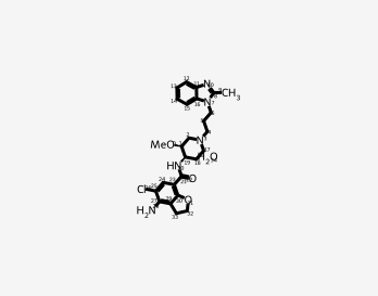 CO[C@H]1CN(CCCn2c(C)nc3ccccc32)CC[C@H]1NC(=O)c1cc(Cl)c(N)c2c1OCC2.O